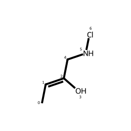 CC=C(O)CNCl